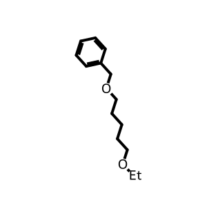 CCOCCCCCOCc1ccccc1